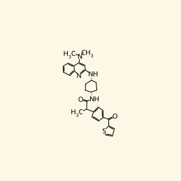 CC(C(=O)N[C@H]1CC[C@@H](Nc2cc(N(C)C)c3ccccc3n2)CC1)c1ccc(C(=O)c2cccs2)cc1